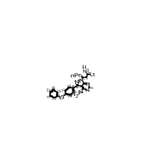 CCCC(CC(N)CC)n1nc(-c2ccc(Oc3ccccc3)cc2)c2c(N)ncnc21